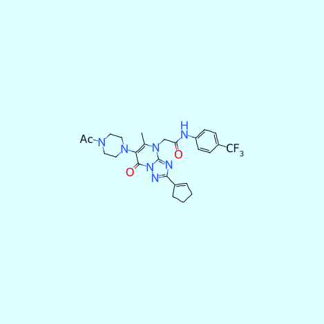 CC(=O)N1CCN(c2c(C)n(CC(=O)Nc3ccc(C(F)(F)F)cc3)c3nc(C4=CCCC4)nn3c2=O)CC1